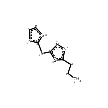 CCCc1nnc(Sc2nccs2)s1